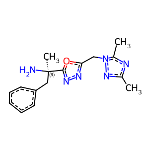 Cc1nc(C)n(Cc2nnc([C@](C)(N)Cc3ccccc3)o2)n1